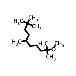 COC(C)(C)CCCC(C)CCC(C)(C)C